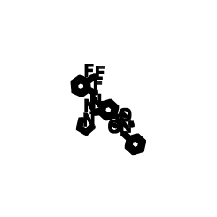 CN(Cc1ccccc1)S(=O)(=O)c1ccc2c(c1)c(N1CCCC1)nn2Cc1ccccc1C(F)(F)F